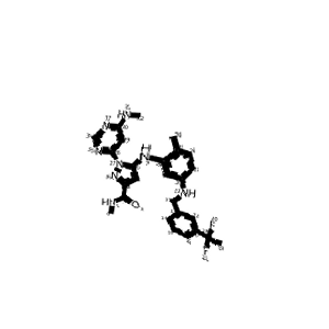 CNC(=O)c1cc(Nc2cc(NCc3cccc(C(C)(F)F)c3)ccc2C)n(-c2cc(NC)ncn2)n1